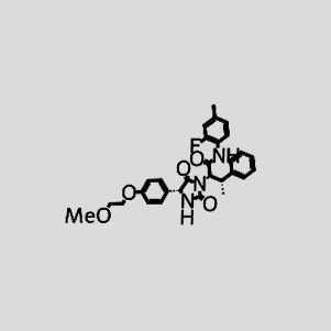 COCCOc1ccc([C@H]2NC(=O)N([C@H](C(=O)Nc3ccc(C)cc3F)[C@@H](C)c3ccccc3)C2=O)cc1